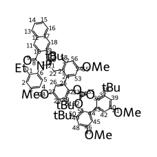 CCc1ccccc1N1C(=O)c2cc3ccccc3cc2OP1Cc1c(-c2cc(OC)cc(C(C)(C)C)c2Op2oc3c(C(C)(C)C)cc(OC)cc3c3cc(OC)cc(C(C)(C)C)c3o2)cc(OC)cc1C(C)(C)C